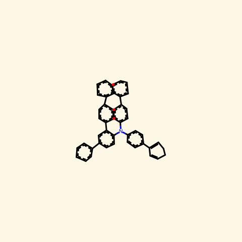 C1=CC(c2ccc(N(c3ccc(-c4ccccc4)cc3)c3ccc(-c4ccccc4)cc3-c3ccc(-c4ccccc4)cc3)cc2)=CCC1